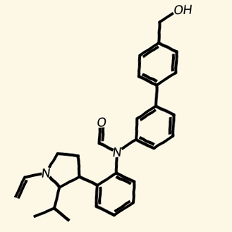 C=CN1CCC(c2ccccc2N(C=O)c2cccc(-c3ccc(CO)cc3)c2)C1C(C)C